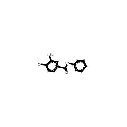 CC(C)(C)c1cc(C(=O)Oc2ccccc2)ccc1Cl